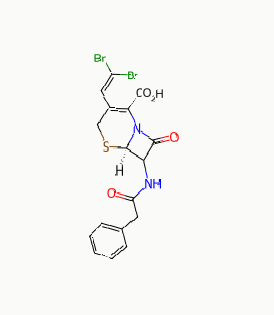 O=C(Cc1ccccc1)NC1C(=O)N2C(C(=O)O)=C(C=C(Br)Br)CS[C@H]12